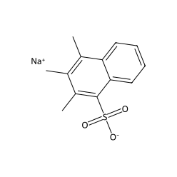 Cc1c(C)c(S(=O)(=O)[O-])c2ccccc2c1C.[Na+]